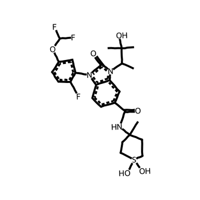 CC(n1c(=O)n(-c2cc(OC(F)F)ccc2F)c2ccc(C(=O)NC3(C)CCS(O)(O)CC3)cc21)C(C)(C)O